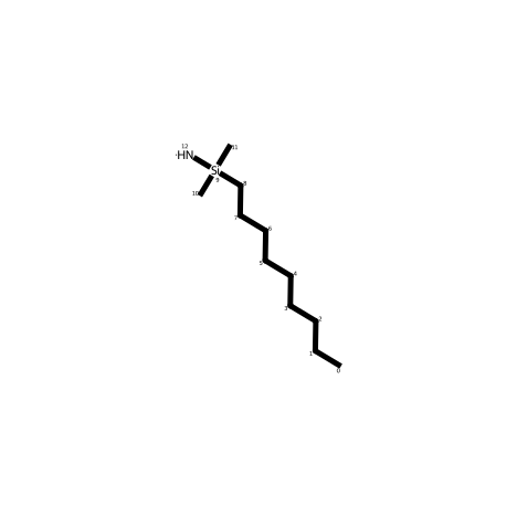 CCCCCCCCC[Si](C)(C)[NH]